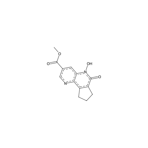 COC(=O)c1cnc2c3c(c(=O)n(O)c2c1)CCC3